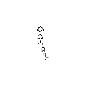 CC(C)/C=C/c1cc(CC(C)c2ccc(-c3ncccn3)cc2)co1